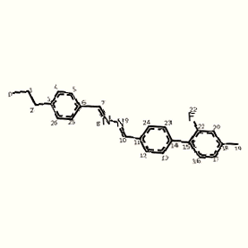 CCCc1ccc(C=NN=Cc2ccc(-c3ccc(C)cc3F)cc2)cc1